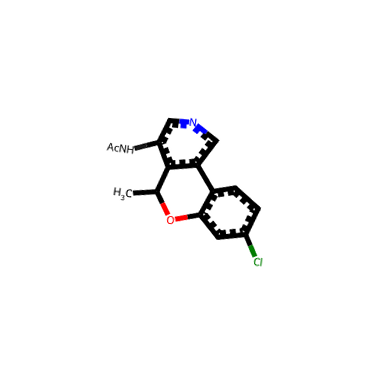 CC(=O)Nc1cncc2c1C(C)Oc1cc(Cl)ccc1-2